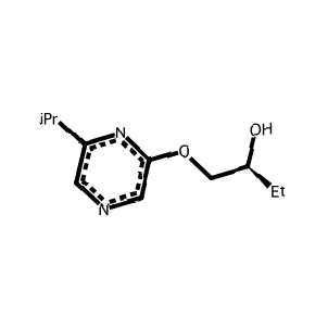 CC[C@H](O)COc1cncc(C(C)C)n1